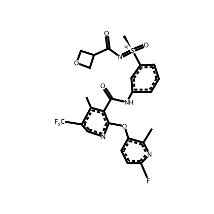 Cc1nc(F)ccc1Oc1ncc(C(F)(F)F)c(C)c1C(=O)Nc1cccc([S@@](C)(=O)=NC(=O)C2COC2)c1